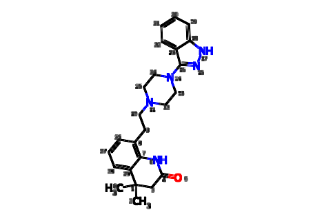 CC1(C)CC(=O)Nc2c(CCN3CCN(c4n[nH]c5ccccc45)CC3)cccc21